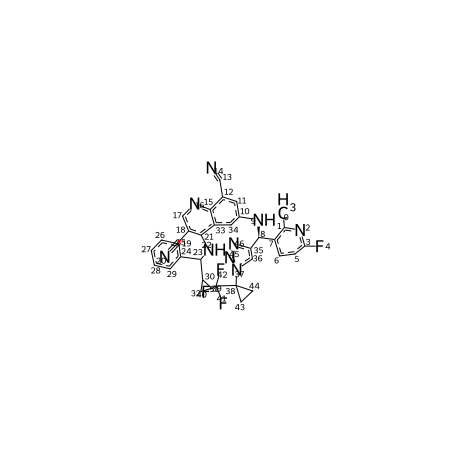 Cc1nc(F)ccc1[C@H](Nc1cc(C#N)c2ncc(C#N)c(NC(c3ccccc3)C3CC3)c2c1)c1cn(C2(C(F)(F)F)CC2)nn1